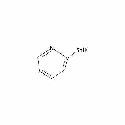 [SnH][c]1ccccn1